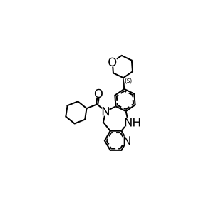 O=C(C1CCCCC1)N1Cc2cccnc2Nc2ccc([C@@H]3CCCOC3)cc21